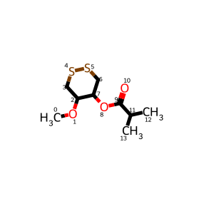 COC1CSSCC1OC(=O)C(C)C